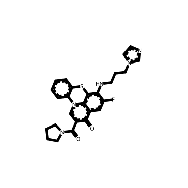 O=C(c1cn2c3c(c(NCCCn4ccnc4)c(F)cc3c1=O)Sc1ccccc1-2)N1CCCC1